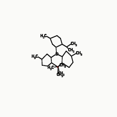 CC1CCC(C(C)C)C([Si](C2CC(C)CCC2C(C)C)C2CC(C)CCC2C(C)C)C1